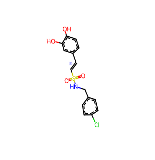 O=S(=O)(/C=C/c1ccc(O)c(O)c1)NCc1ccc(Cl)cc1